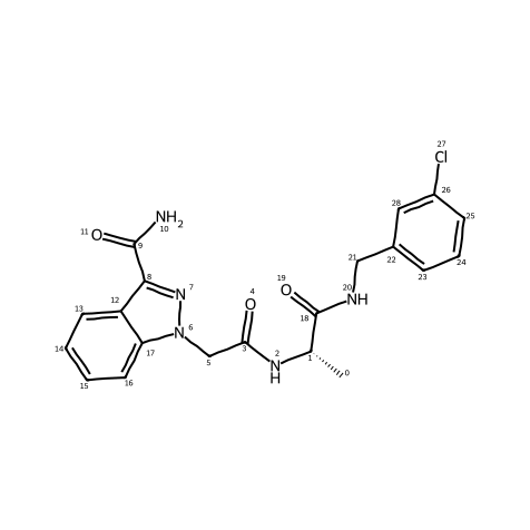 C[C@H](NC(=O)Cn1nc(C(N)=O)c2ccccc21)C(=O)NCc1cccc(Cl)c1